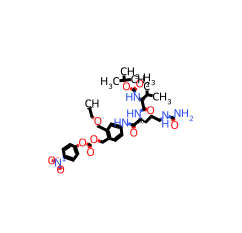 C#CCOCc1cc(NC(=O)[C@H](CCCNC(N)=O)NC(=O)[C@@H](NC(=O)OC(C)(C)C)C(C)C)ccc1COC(=O)Oc1ccc([N+](=O)[O-])cc1